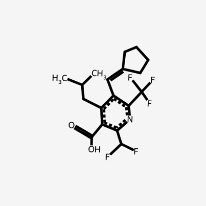 CC(C)Cc1c(C=C2CCCC2)c(C(F)(F)F)nc(C(F)F)c1C(=O)O